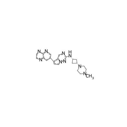 CN1CCN([C@H]2C[C@@H](Nc3ncc4c(-c5cnc6nccnc6c5)ccn4n3)C2)CC1